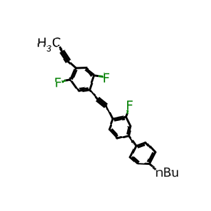 CC#Cc1cc(F)c(C#Cc2ccc(-c3ccc(CCCC)cc3)cc2F)cc1F